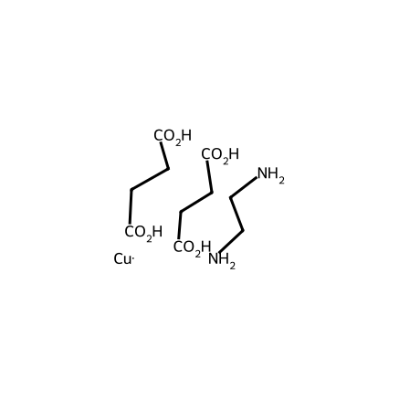 NCCN.O=C(O)CCC(=O)O.O=C(O)CCC(=O)O.[Cu]